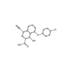 N#Cc1nc(C(=O)O)c(O)c2c(Oc3ccc(Cl)cc3)cccc12